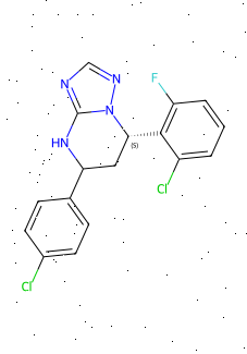 Fc1cccc(Cl)c1[C@@H]1CC(c2ccc(Cl)cc2)Nc2ncnn21